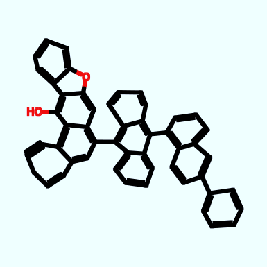 Oc1c2c3c(cc(-c4c5ccccc5c(-c5cccc6cc(-c7ccccc7)ccc56)c5ccccc45)c2cc2oc4ccccc4c12)C=CCC#C3